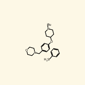 CCC(C)N1CCC(Oc2ccc(CN3CCOCC3)cc2)CC1.[SiH3]c1ccccc1